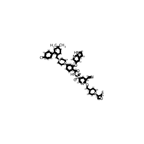 CC1(C)CCC(CN2CCN(c3ccc(C(=O)NS(=O)(=O)c4cnc(OCC5CCN(C6COC6F)CC5)c(C#N)c4)c(Oc4cnc5[nH]ccc5c4)c3)CC2)=C(c2ccc(Cl)cc2)C1